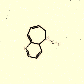 C[C@H]1CC=CC=C2N=CC=CC21